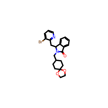 O=C1c2ccccc2C(Cc2ncccc2Br)N1CC1CCC2(CC1)OCCO2